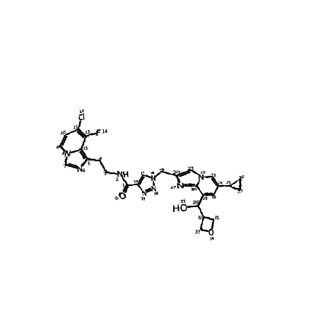 O=C(NCCc1ncn2ccc(Cl)c(F)c12)c1cn(Cc2cn3cc(C4CC4)cc(C(O)C4COC4)c3n2)nn1